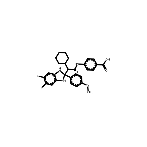 COc1ccc(C2(C(C(=O)Nc3ccc(C(=O)O)cc3)C3CCCCC3)Nc3cc(F)c(F)cc3N2)cc1